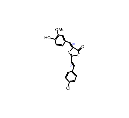 COc1cc(/C=C2N=C(/C=C/c3ccc(Cl)cc3)OC\2=O)ccc1O